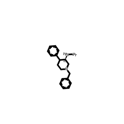 CC(C)N[C@H]1CN(Cc2ccccc2)CCC1c1ccccc1